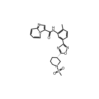 Cc1ccc(-c2noc([C@H]3CCCN(S(C)(=O)=O)C3)n2)cc1NC(=O)c1cnc2ccccn12